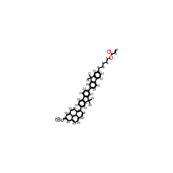 C=CC(=O)OCCCCCc1ccc2c(c1)C(C)(C)c1cc(-c3ccc4c(c3)C(C)(C)c3cc(C5=C6C=CC7=CC(C(C)(C)C)=CC8=CC=C(C=C5)C6C87)ccc3-4)ccc1-2